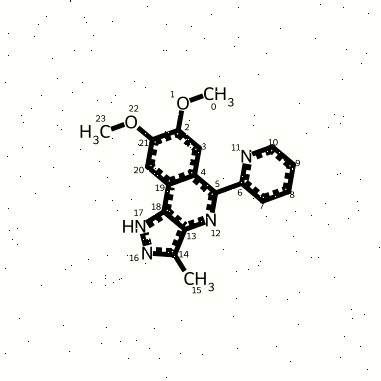 COc1cc2c(-c3ccccn3)nc3c(C)n[nH]c3c2cc1OC